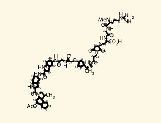 CN[C@H](CCCNC(=N)N)C(=O)NCC(=O)NC(CSC1CC(=O)N(CCC(=O)N/N=C(/C)c2ccc(OCC(=O)NCC(=O)Nc3ccc4[nH]c(C(=O)Nc5ccc6[nH]c(C(=O)N7CC(C)c8c7cc(OC(C)=O)c7ccccc87)cc6c5)cc4c3)cc2)C1=O)C(=O)O